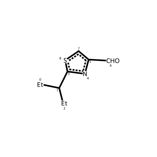 CCC(CC)c1nc(C=O)cs1